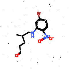 CC(CCC=O)CNc1cc(Br)ccc1[N+](=O)[O-]